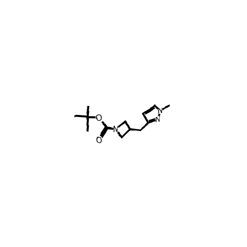 Cn1ccc(CC2CN(C(=O)OC(C)(C)C)C2)n1